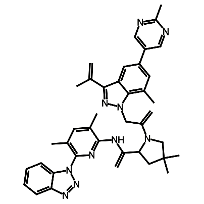 C=C(C)c1nn(CC(=C)N2CC(C)(C)CC2C(=C)Nc2nc(-n3nnc4ccccc43)c(C)cc2C)c2c(C)cc(-c3cnc(C)nc3)cc12